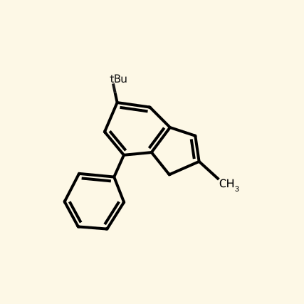 CC1=Cc2cc(C(C)(C)C)cc(-c3ccccc3)c2C1